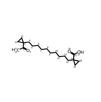 CC(=O)C1(CCCCCCCCCCC2(C(=O)O)CC2)CC1